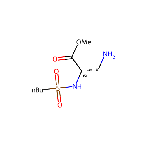 CCCCS(=O)(=O)N[C@@H](CN)C(=O)OC